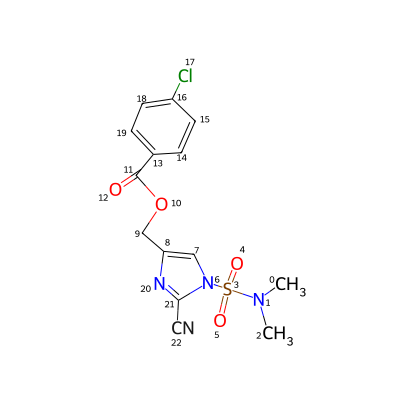 CN(C)S(=O)(=O)n1cc(COC(=O)c2ccc(Cl)cc2)nc1C#N